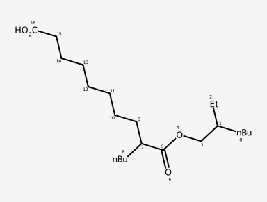 CCCCC(CC)COC(=O)C(CCCC)CCCCCCCC(=O)O